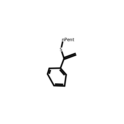 C=C(SCCCCC)c1ccccc1